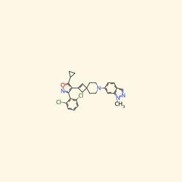 Cn1ncc2ccc(N3CCC4(C=C(c5c(-c6c(Cl)cccc6Cl)noc5C5CC5)C4)CC3)cc21